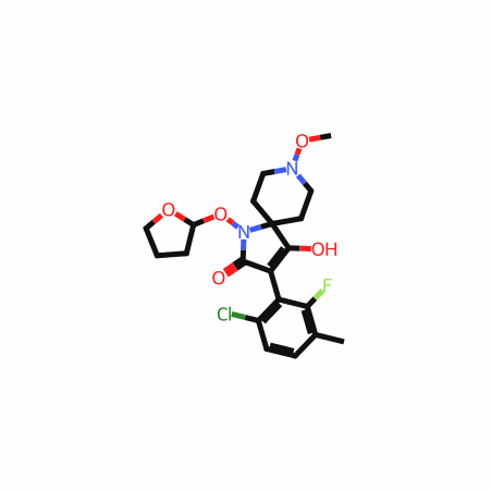 CON1CCC2(CC1)C(O)=C(c1c(Cl)ccc(C)c1F)C(=O)N2OC1CCCO1